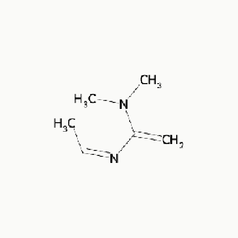 C=C(/N=C\C)N(C)C